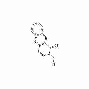 O=C1c2cc3ccccc3nc2C=CC1CCl